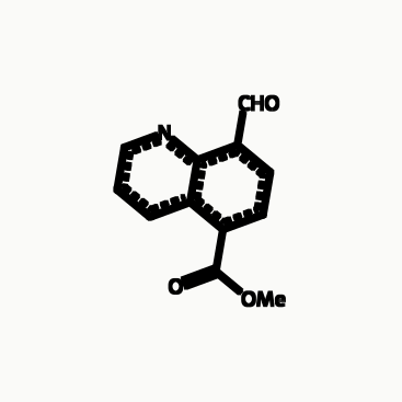 COC(=O)c1ccc(C=O)c2ncccc12